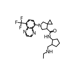 CCNCC1CCCC1NC(=O)C1CN(c2ccc(C(F)(F)F)c3nccnc23)CC12CC2